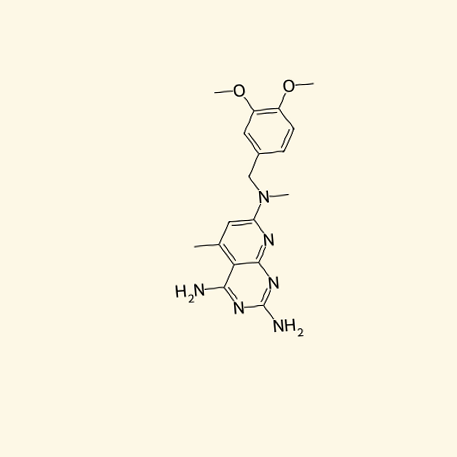 COc1ccc(CN(C)c2cc(C)c3c(N)nc(N)nc3n2)cc1OC